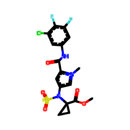 COC(=O)C1(N(c2cc(C(=O)Nc3cc(F)c(F)c(Cl)c3)n(C)c2)[SH](=O)=O)CC1